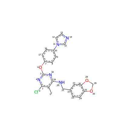 Cc1c(Cl)nc(Oc2ccc(-n3ccnc3)cc2)nc1NCc1ccc2c(c1)OCO2